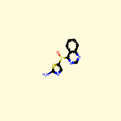 Nc1ncc([S+]([O-])c2ncnc3ccccc23)s1